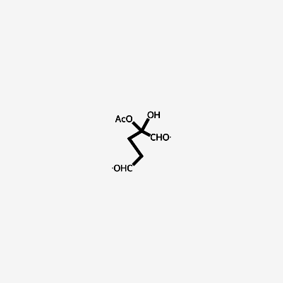 CC(=O)OC(O)([C]=O)CC[C]=O